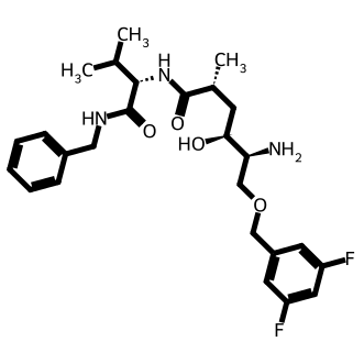 CC(C)[C@H](NC(=O)[C@H](C)C[C@H](O)[C@@H](N)COCc1cc(F)cc(F)c1)C(=O)NCc1ccccc1